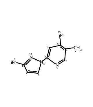 Cc1cnc(-n2ccc(C(C)C)n2)cc1C(C)C